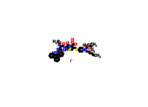 CCCCCCN(C(=O)OC(C)(C)C)[n+]1ccc(SCC2=C(C(=O)O)N3C(=O)[C@@H](NC(=O)/C(=N\OC)c4csc(NC(c5ccccc5)(c5ccccc5)c5ccccc5)n4)[C@H]3SC2)cc1.[I-]